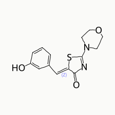 O=C1N=C(N2CCOCC2)S/C1=C\c1cccc(O)c1